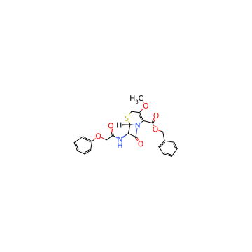 COC1=C(C(=O)OCc2ccccc2)N2C(=O)[C@@H](NC(=O)COc3ccccc3)[C@@H]2SC1